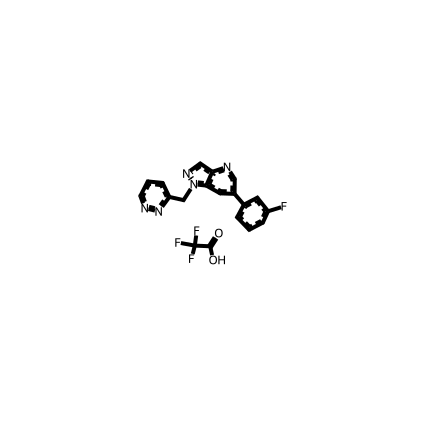 Fc1cccc(-c2cnc3cnn(Cc4cccnn4)c3c2)c1.O=C(O)C(F)(F)F